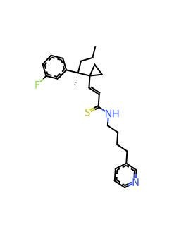 CCC[C@](C)(c1cccc(F)c1)C1(C=CC(=S)NCCCCc2cccnc2)CC1